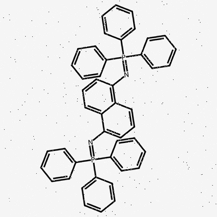 c1ccc(P(=Nc2cccc3c(N=P(c4ccccc4)(c4ccccc4)c4ccccc4)cccc23)(c2ccccc2)c2ccccc2)cc1